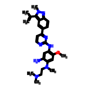 C=C(C)c1c2cc(-c3ccnc(Nc4cc(N)c(N(C)CCN(C)C)cc4OC)n3)ccc2nn1C